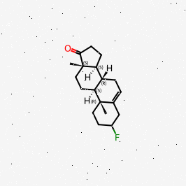 C[C@]12CCC(F)CC1=CC[C@@H]1[C@@H]2CC[C@]2(C)C(=O)CC[C@@H]12